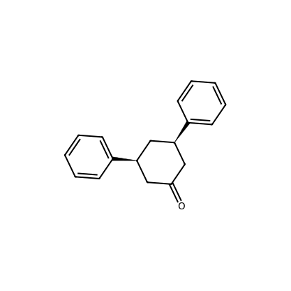 O=C1C[C@@H](c2ccccc2)C[C@@H](c2ccccc2)C1